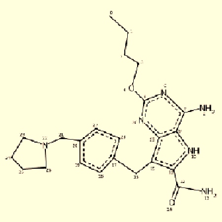 CCCCOc1nc(N)c2[nH]c(C(N)=O)c(Cc3ccc(CN4CCCC4)cc3)c2n1